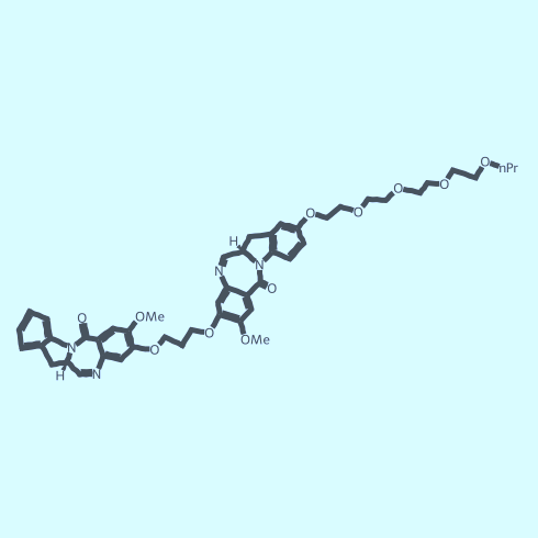 CCCOCCOCCOCCOCCOc1ccc2c(c1)C[C@H]1C=Nc3cc(OCCCOc4cc5c(cc4OC)C(=O)N4c6ccccc6C[C@H]4C=N5)c(OC)cc3C(=O)N21